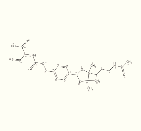 CC(=O)NCCCC1(C)OB(c2ccc(COC(=O)NC(P=S)C(=O)O)cc2)OC1(C)C